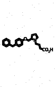 O=C(O)CCCN1CCCC1COc1ccc(Cc2ccccc2)cc1